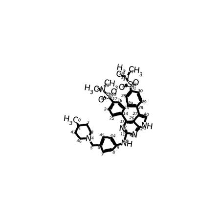 CC1CCN(Cc2ccc(Nc3nc(-c4ccc(S(=O)(=O)N(C)C)cc4)c4c(-c5ccc(S(=O)(=O)N(C)C)cc5)c[nH]c4n3)cc2)CC1